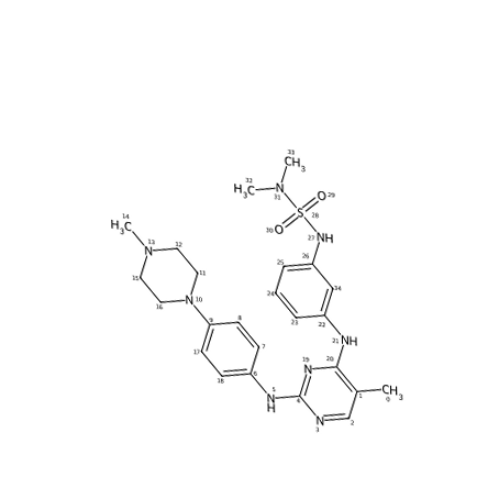 Cc1cnc(Nc2ccc(N3CCN(C)CC3)cc2)nc1Nc1cccc(NS(=O)(=O)N(C)C)c1